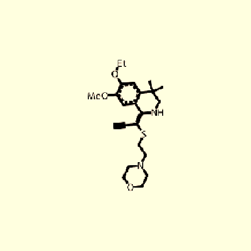 C#C/C(SCCN1CCOCC1)=C1/NCC(C)(C)c2cc(OCC)c(OC)cc21